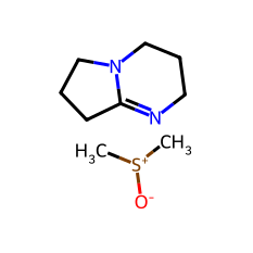 C1CN=C2CCCN2C1.C[S+](C)[O-]